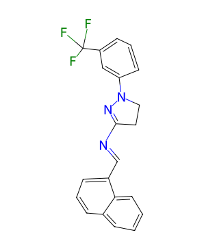 FC(F)(F)c1cccc(N2CCC(N=Cc3cccc4ccccc34)=N2)c1